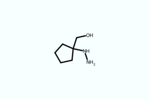 NNC1(CO)CCCC1